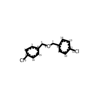 Clc1ccc(COCc2ccc(Cl)cc2)cc1